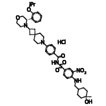 CC(C)Oc1ccccc1[C@H]1COCCN1C1CC2(CCN(c3ccc(C(=O)NS(=O)(=O)c4ccc(NCC5CCC(C)(O)CC5)c([N+](=O)[O-])c4)cc3)CC2)C1.Cl